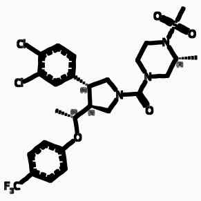 C[C@@H]1CN(C(=O)N2C[C@@H]([C@@H](C)Oc3ccc(C(F)(F)F)cc3)[C@H](c3ccc(Cl)c(Cl)c3)C2)CCN1S(C)(=O)=O